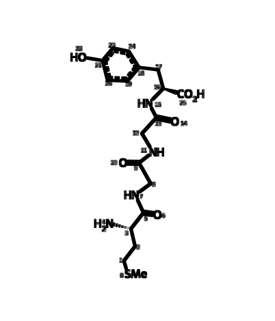 CSCC[C@H](N)C(=O)NCC(=O)NCC(=O)N[C@@H](Cc1ccc(O)cc1)C(=O)O